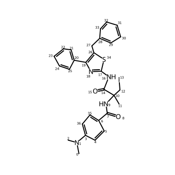 CN(C)c1ccc(C(=O)NC(C)(CI)C(=O)Nc2nc(-c3ccccc3)c(Cc3ccccc3)s2)cc1